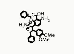 COc1ccc(C(Cc2ccccc2)C(c2ccc(N)c(C(C)O)c2OCc2ccccc2)S(N)(=O)=O)cc1OC